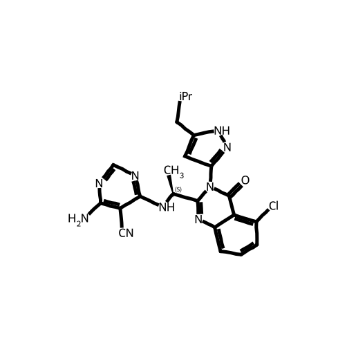 CC(C)Cc1cc(-n2c([C@H](C)Nc3ncnc(N)c3C#N)nc3cccc(Cl)c3c2=O)n[nH]1